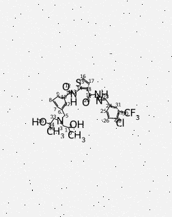 CC(O)CN(Cc1cccc(C(=O)Nc2sccc2C(=O)NN=Cc2ccc(Cl)c(C(F)(F)F)c2)c1)CC(C)O